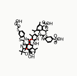 Cc1cc(N(c2nc3ccc(S(=O)(=O)O)cc3s2)c2c(C(C)C)cc(C)c(S(=O)(=O)O)c2C(C)C)nc(Nc2c(C(C)C)cc(C)c(S(=O)(=O)O)c2C(C)C)c1/N=N/c1c(C#N)c(C(C)(C)C)nn1-c1nc2ccc(SOOO)cc2s1